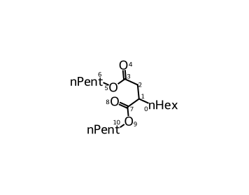 CCCCCCC(CC(=O)OCCCCC)C(=O)OCCCCC